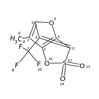 Cc1c2c3oc1c(C(F)(F)F)c3S(=O)(=O)O2